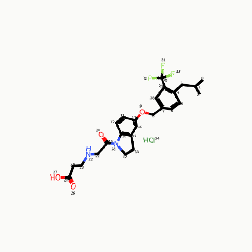 CC(C)Cc1ccc(COc2ccc3c(c2)CCN3C(=O)CNCCC(=O)O)cc1C(F)(F)F.Cl